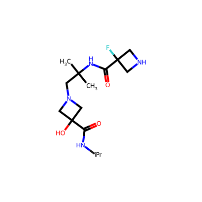 CC(C)NC(=O)C1(O)CN(CC(C)(C)NC(=O)C2(F)CNC2)C1